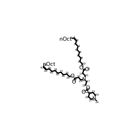 CCCCCCCC/C=C\CCCCCCCCOC(=O)CCN(CCOS(=O)C1CCN(C)CC1)CCC(=O)OCCCCCCCC/C=C\CCCCCCCC